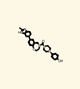 Cc1nc2ccc(-c3ccc4c(c3)CN(C(=O)N3CCN(c5ccc(O)cc5)CC3)CCO4)cc2[nH]1